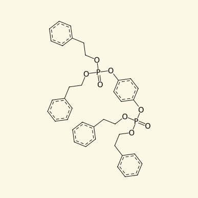 O=P(OCCc1ccccc1)(OCCc1ccccc1)Oc1ccc(OP(=O)(OCCc2ccccc2)OCCc2ccccc2)cc1